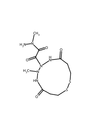 CN(N)C(=O)C(=O)N1NC(=O)CCSSCCC(=O)NN1C